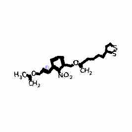 C=C(C)OC/C=C/c1cccc(COC(=C)CCCCC2CCSS2)c1[N+](=O)[O-]